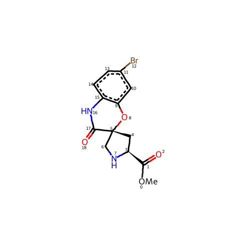 COC(=O)[C@@H]1C[C@]2(CN1)Oc1cc(Br)ccc1NC2=O